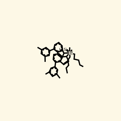 CCCC[CH2][Hf]([CH3])([CH3])(=[SiH2])([CH2]CCCC)([CH]1C=Cc2c(-c3cc(C)cc(C)c3)cccc21)[CH]1C=Cc2c(-c3cc(C)cc(C)c3)cccc21